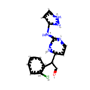 O=[C]C(c1ccnc(Nc2cc[nH]n2)n1)c1ccccc1Cl